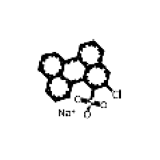 O=S(=O)([O-])c1c(Cl)cc2cccc3c4cccc5cccc(c1c23)c54.[Na+]